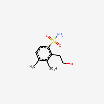 Cc1ccc(S(N)(=O)=O)c(CCO)c1S(=O)(=O)O